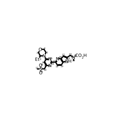 CCC1COCCN1c1cc(CS(C)(=O)=O)nc(-c2ccc3[nH]c(CN(C)C(=O)O)cc3n2)n1